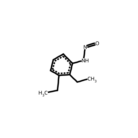 CCc1cccc(NN=O)c1CC